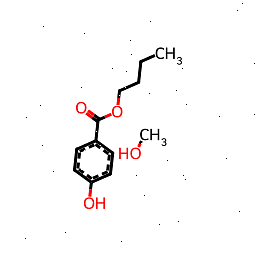 CCCCOC(=O)c1ccc(O)cc1.CO